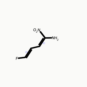 N/C(=C/C=C/F)[N+](=O)[O-]